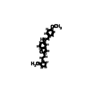 COc1ccc(CNc2ccc3oc(CCN4CCCC4C)cc3c2)cc1